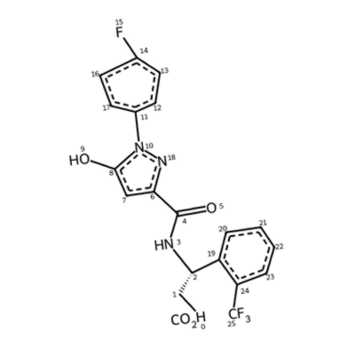 O=C(O)C[C@H](NC(=O)c1cc(O)n(-c2ccc(F)cc2)n1)c1ccccc1C(F)(F)F